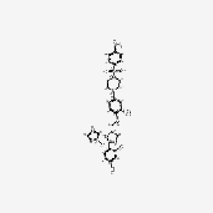 Nc1ccc(S(=O)(=O)N2CCN(c3ccc(OC[C@@H]4CO[C@@](Cn5ccnc5)(c5ccc(Cl)cc5Cl)O4)cc3)CC2)cc1.O